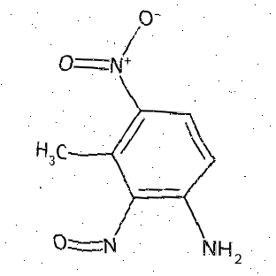 Cc1c([N+](=O)[O-])ccc(N)c1N=O